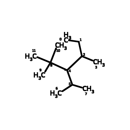 CCC(C)[C](C(C)C)C(C)(C)C